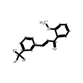 COc1ccccc1C(=O)/C=C/c1cccc(C(F)(F)F)c1